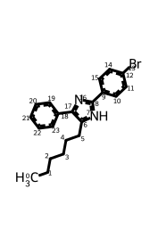 CCCCCCc1[nH]c(-c2ccc(Br)cc2)nc1-c1ccccc1